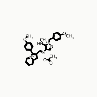 CC(=O)[O-].CNc1c(/N=C/C2=C(c3ccc(OC)cc3)[n+]3ccccc3C2)cnn1Cc1ccc(OC)cc1